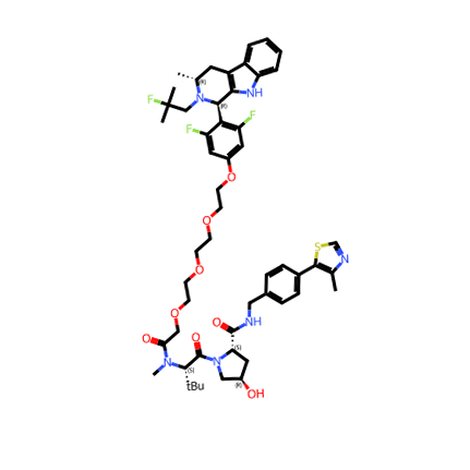 Cc1ncsc1-c1ccc(CNC(=O)[C@@H]2C[C@@H](O)CN2C(=O)[C@@H](N(C)C(=O)COCCOCCOCCOc2cc(F)c([C@@H]3c4[nH]c5ccccc5c4C[C@@H](C)N3CC(C)(C)F)c(F)c2)C(C)(C)C)cc1